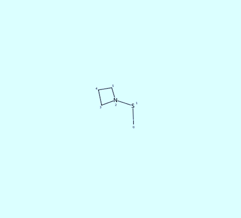 ISN1CCC1